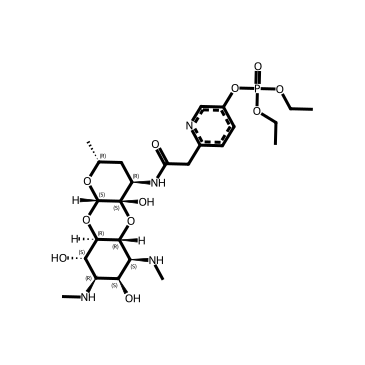 CCOP(=O)(OCC)Oc1ccc(CC(=O)N[C@@H]2C[C@@H](C)O[C@H]3O[C@@H]4[C@@H](O)[C@H](NC)[C@H](O)[C@H](NC)[C@H]4O[C@]32O)nc1